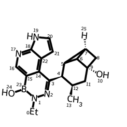 CCN1N=C([C@H]2C3C4[C@@H]3C[C@@]4(O)C[C@H]2C)c2c(cnc3[nH]ccc23)B1O